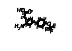 Nc1cc(-c2ccc(OC(F)(F)F)cc2)nn1CC(=O)O